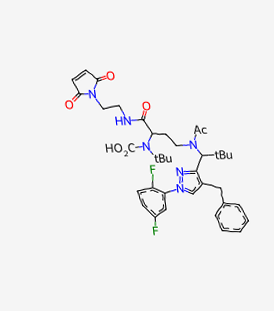 CC(=O)N(CCC(C(=O)NCCN1C(=O)C=CC1=O)N(C(=O)O)C(C)(C)C)C(c1nn(-c2cc(F)ccc2F)cc1Cc1ccccc1)C(C)(C)C